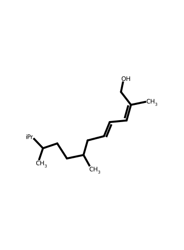 CC(=CC=CCC(C)CCC(C)C(C)C)CO